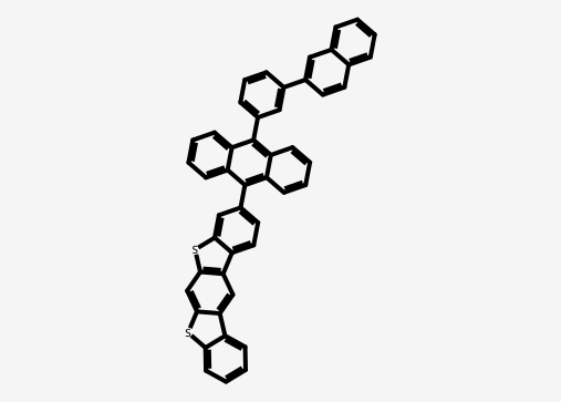 c1cc(-c2ccc3ccccc3c2)cc(-c2c3ccccc3c(-c3ccc4c(c3)sc3cc5sc6ccccc6c5cc34)c3ccccc23)c1